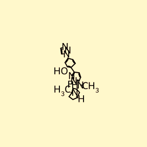 CN(c1ccc(-c2ccc(-n3ccnn3)cc2O)nn1)[C@H]1C[C@@H]2CC[C@@](C)(N2)[C@@H]1F